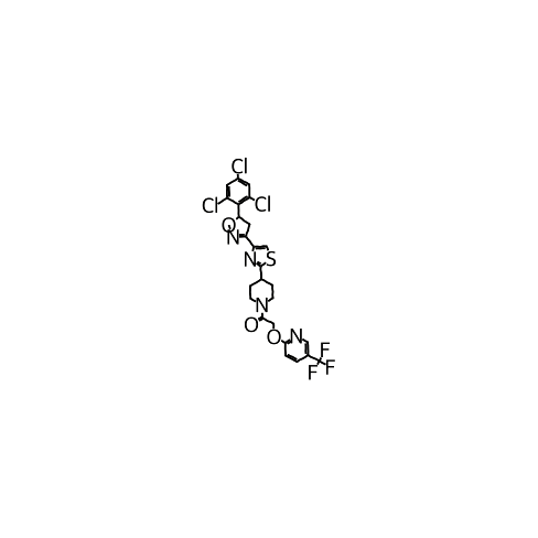 O=C(COc1ccc(C(F)(F)F)cn1)N1CCC(c2nc(C3=NOC(c4c(Cl)cc(Cl)cc4Cl)C3)cs2)CC1